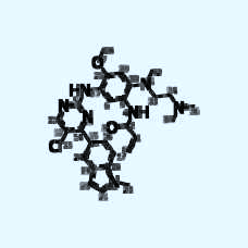 C=CC(=O)Nc1cc(Nc2ncc(Cl)c(-c3ccc4c(ccn4C)c3)n2)c(OC)cc1N(C)CCN(C)C